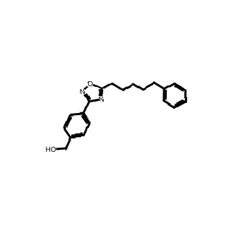 OCc1ccc(-c2noc(CCCCCc3ccccc3)n2)cc1